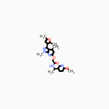 COc1ccc(C(C)NC(=O)COc2cc(C)c3c(-c4cc(C)oc4C)nn(C)c3n2)cn1